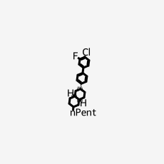 CCCCCC1CC[C@@H]2C[C@H](c3ccc(-c4ccc(Cl)c(F)c4)cc3)CC[C@@H]2C1